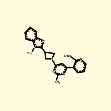 CC(=O)Nc1ncccc1-c1cc(N2CC(c3nc4ccccc4n3C)C2)nc(C)n1